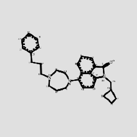 O=C1c2cccc3c(N4CCCN(CCCc5ccccc5)CC4)ccc(c23)N1CC1CCC1